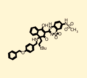 CC(C)(C)CCC1(NCc2ccc(OCc3ccccc3)cc2)C(=O)C(C2=NS(=O)(=O)c3cc(NS(C)(=O)=O)ccc3N2)=C(O)c2ccccc21